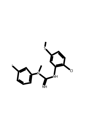 CSc1ccc(Cl)c(NC(=N)N(C)c2cccc(I)c2)c1